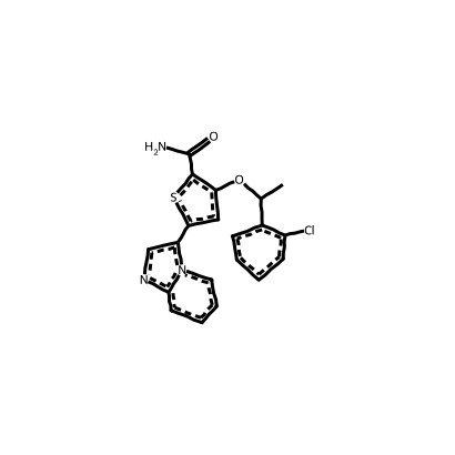 CC(Oc1cc(-c2cnc3ccccn23)sc1C(N)=O)c1ccccc1Cl